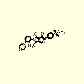 Cc1c2cnn(-c3ccc(S(N)(=O)=O)cc3)c(=O)c2c(C)n1-c1cccc(N2CCOCC2)c1